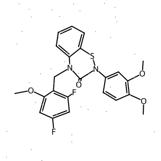 COc1ccc(N2Sc3ccccc3N(Cc3c(F)cc(F)cc3OC)C2=O)cc1OC